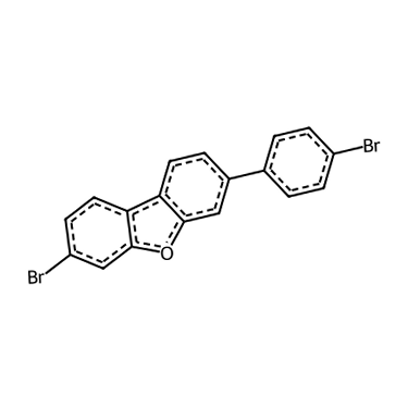 Brc1ccc(-c2ccc3c(c2)oc2cc(Br)ccc23)cc1